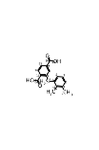 Cc1cccc([SiH2]c2cc(C(=O)O)ccc2C(=O)O)c1C